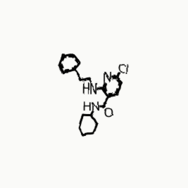 O=C(NC1CCCCC1)c1ccc(Cl)nc1NCCc1ccccc1